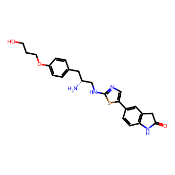 N[C@@H](CNc1ncc(-c2ccc3c(c2)CC(=O)N3)s1)Cc1ccc(OCCCO)cc1